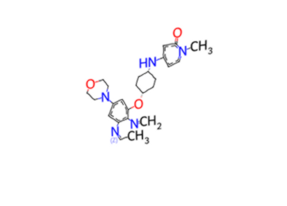 C=Nc1c(/N=C\C)cc(N2CCOCC2)cc1O[C@H]1CC[C@@H](Nc2ccn(C)c(=O)c2)CC1